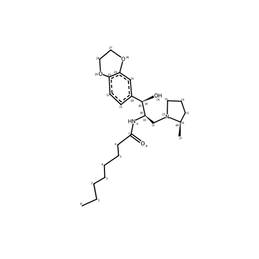 CCCCCCCC(=O)N[C@H](CN1CCC[C@H]1C)[C@H](O)c1ccc2c(c1)OCCO2